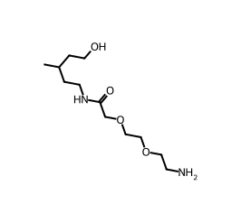 CC(CCO)CCNC(=O)COCCOCCN